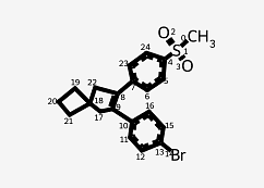 CS(=O)(=O)c1ccc(C2=C(c3ccc(Br)cc3)CC3(CCC3)C2)cc1